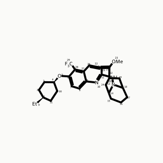 CC[C@H]1CC[C@@H](Oc2ccc3nc(NN4C5CCCC4CC(C(=O)OC)C5)ccc3c2C(F)(F)F)CC1